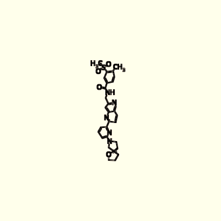 Cc1ccc(C(=O)NCc2cc3nc(-c4cccc(N5CC[C@]6(CCCO6)C5)n4)ccc3cn2)cc1S(C)(=O)=O